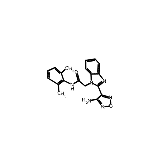 Cc1cccc(C)c1NC(=O)Cn1c(-c2nonc2N)nc2ccccc21